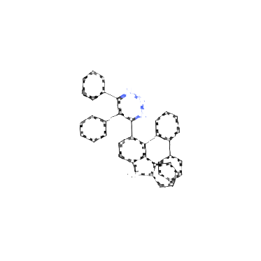 c1ccc(-c2ccccc2-c2c(-c3nnnc(-c4ccccc4)c3-c3ccccc3)ccc3[se]c4ccccc4c23)cc1